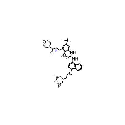 COc1c(/C=C/C(=O)N2CCOCC2)cc(C(C)(C)C)cc1NC(=O)Nc1ccc(OCCN2C[C@@H](C)O[C@H](C)C2)c2ccccc12